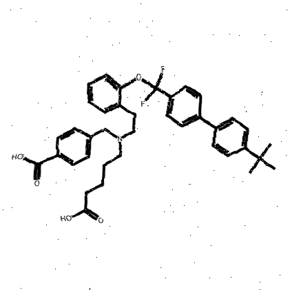 CC(C)(C)c1ccc(-c2ccc(C(F)(F)Oc3ccccc3CCN(CCCCC(=O)O)Cc3ccc(C(=O)O)cc3)cc2)cc1